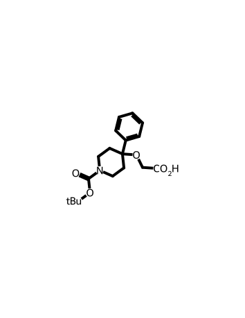 CC(C)(C)OC(=O)N1CCC(OCC(=O)O)(c2ccccc2)CC1